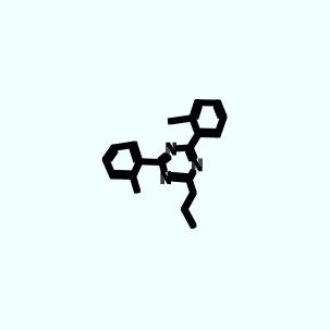 CCCc1nc(-c2ccccc2C)nc(-c2ccccc2C)n1